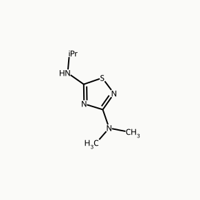 CC(C)Nc1nc(N(C)C)ns1